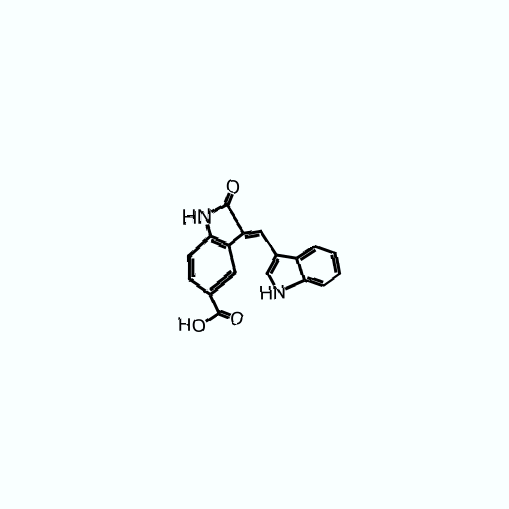 O=C1Nc2ccc(C(=O)O)cc2/C1=C\c1c[nH]c2ccccc12